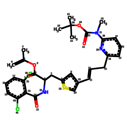 C=C(C)OC(=O)C(Cc1cc(/C=C/Cc2cccc(N(C)C(=O)OC(C)(C)C)n2)cs1)NC(=O)c1c(Cl)cccc1Cl